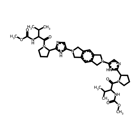 COC(=O)NC(C(=O)N1CCCC1c1ncc(N2Cc3cc4c(cc3C2)CN(c2cnc(C3CCCN3C(=O)C(NC(=O)OC)C(C)C)[nH]2)C4)[nH]1)C(C)C